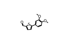 COc1ccc(-c2ccc(C=O)s2)cc1OC